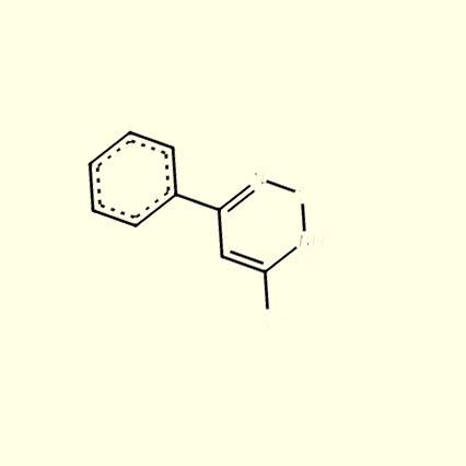 CC1=CC(c2ccccc2)=NSN1